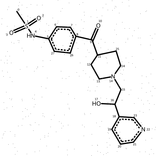 CS(=O)(=O)Nc1ccc(C(=O)C2CCN(CC(O)c3cccnc3)CC2)cc1